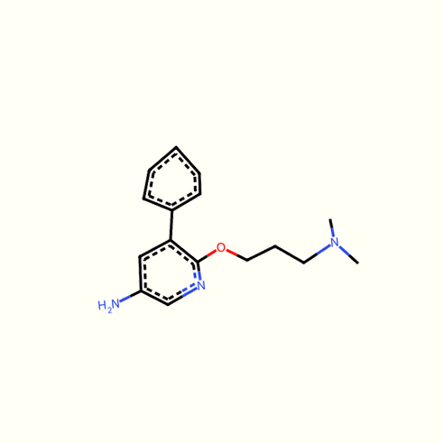 CN(C)CCCOc1ncc(N)cc1-c1ccccc1